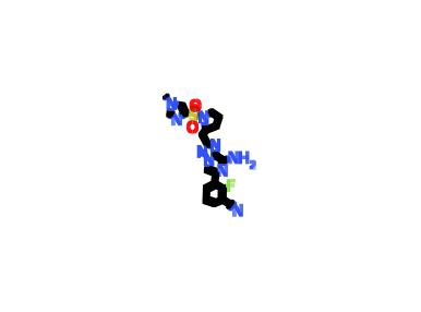 Cn1cnc(S(=O)(=O)N2CCCC2Cc2nc3c(N)nc(-c4cccc(C#N)c4F)cn3n2)c1